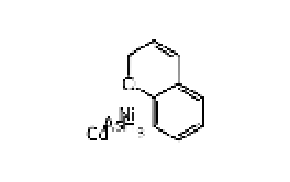 C1=Cc2ccccc2OC1.[AsH3].[Cd].[Ni]